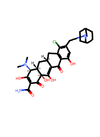 CN(C)[C@@H]1C(O)=C(C(N)=O)C(=O)[C@@]2(O)C(O)=C3C(=O)c4c(O)cc(CN5CC6CCC(CC6)C5)c(Cl)c4C[C@H]3C[C@@H]12